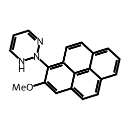 COc1cc2ccc3cccc4ccc(c1N1N=CC=CN1)c2c34